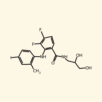 Cc1cc(I)ccc1Nc1c(C(=O)NCC(O)CO)ccc(F)c1F